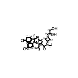 CCN(C(=O)C1=C(C(C)C)N2C(=N[C@@](C)(c3ccc(Cl)cc3)[C@H]2c2ccc(Cl)cc2)S1)C1CN(C[C@H](O)CO)C1